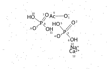 CC(=O)[O-].O=P([O-])(O)O.O=P([O-])(O)O.[Ca+2].[Na+]